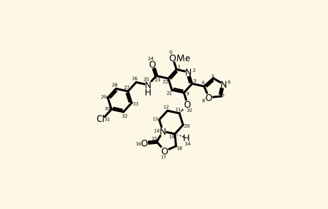 COc1nc(-c2cnco2)c(O[C@H]2CCN3C(=O)OC[C@@H]3C2)cc1C(=O)NCc1ccc(Cl)cc1